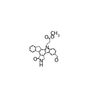 COC(=O)CCn1c2ccc(C=O)cc2c2c3c(c4c(c21)Cc1ccccc1-4)C(=O)NC3